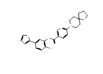 Nc1ccc(-c2cccs2)cc1NC(=O)c1ccc(N2CCC3(CCCN3)CC2)nc1